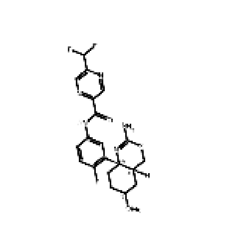 CO[C@H]1CC[C@]2(c3cc(NC(=O)c4cnc(C(F)F)cn4)ccc3F)N=C(N)SC[C@@H]2C1